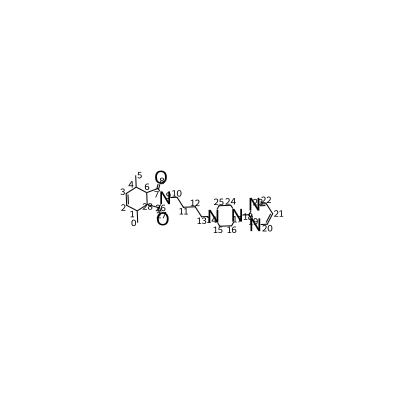 CC1C=CC(C)C2C(=O)N(CCCCN3CCN(c4ncccn4)CC3)C(=O)C12